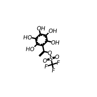 C=C(OS(=O)(=O)C(F)(F)F)c1c(O)c(O)c(O)c(O)c1O